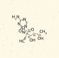 C#CC1(N)[C@@H](O)[C@@H]([C@H](C)O)O[C@H]1n1cnc(N)nc1=O